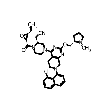 C=C[C@@H]1O[C@H]1C(=O)N1CCN(c2nc(OC[C@@H]3CCCN3C)nc3c2CCN(c2cccc4cccc(Cl)c24)C3)C[C@@H]1CC#N